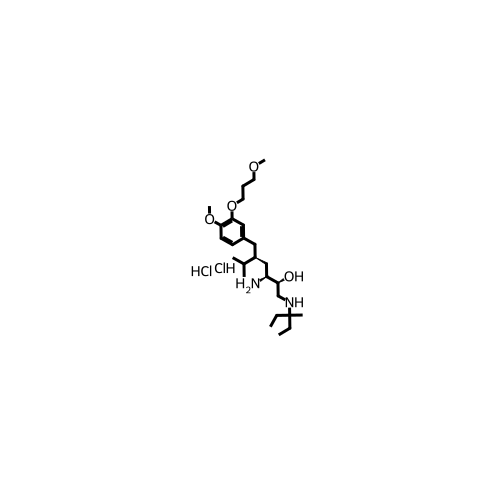 CCC(C)(CC)NC[C@H](O)[C@@H](N)C[C@H](Cc1ccc(OC)c(OCCCOC)c1)C(C)C.Cl.Cl